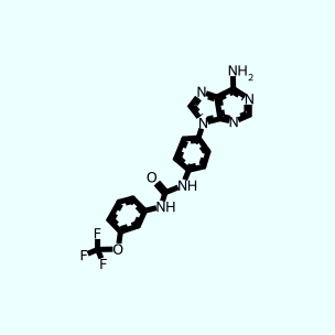 Nc1ncnc2c1ncn2-c1ccc(NC(=O)Nc2cccc(OC(F)(F)F)c2)cc1